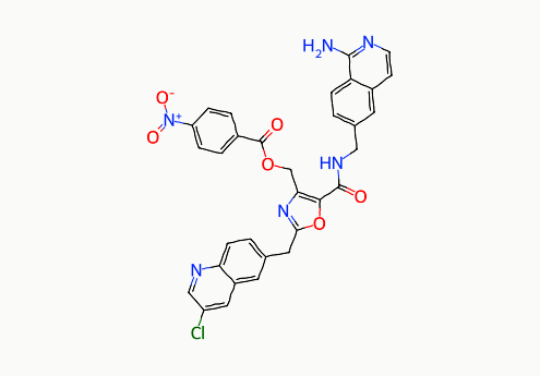 Nc1nccc2cc(CNC(=O)c3oc(Cc4ccc5ncc(Cl)cc5c4)nc3COC(=O)c3ccc([N+](=O)[O-])cc3)ccc12